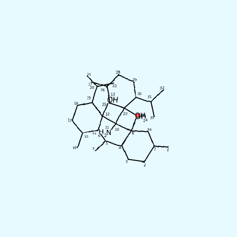 CC1CCC(C(C)C)C(O)(C(N)(C2(O)CC(C)CCC2C(C)C)C2(O)CC(C)CCC2C(C)C)C1